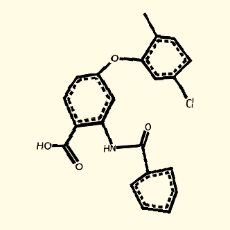 Cc1ccc(Cl)cc1Oc1ccc(C(=O)O)c(NC(=O)c2ccccc2)c1